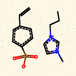 C=Cc1ccc(S(=O)(=O)[O-])cc1.CCC[n+]1ccn(C)c1